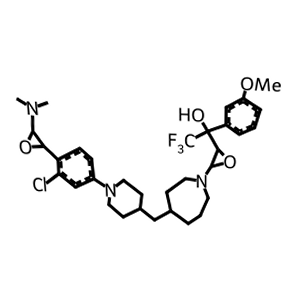 COc1cccc(C(O)(C2OC2N2CCCC(CC3CCN(c4ccc(C5OC5N(C)C)c(Cl)c4)CC3)CC2)C(F)(F)F)c1